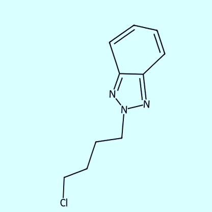 ClCCCCn1nc2ccccc2n1